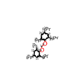 CC(C)c1cc(C(C)C)c(OCOc2c(C(C)C)cc(C(C)C)cc2C(C)C)c(C(C)C)c1